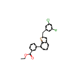 CCOC(=O)c1cccc(-c2cccc3cc(Cc4cc(F)cc(Cl)c4)sc23)c1